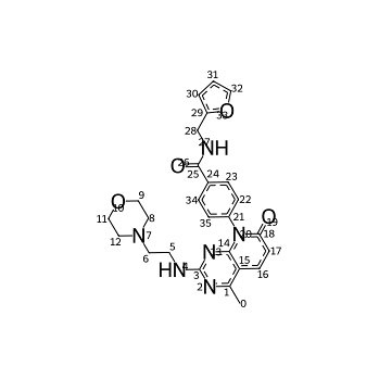 Cc1nc(NCCN2CCOCC2)nc2c1ccc(=O)n2-c1ccc(C(=O)NCc2ccco2)cc1